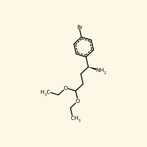 CCOC(CC[C@H](N)c1ccc(Br)cc1)OCC